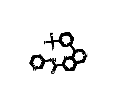 O=C(Nc1cccnc1)c1ccc2cncc(-c3cccc(C(F)(F)F)c3)c2n1